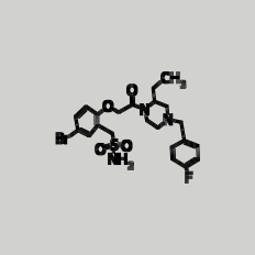 CCC1CN(Cc2ccc(F)cc2)CCN1C(=O)COc1ccc(Br)cc1CS(N)(=O)=O